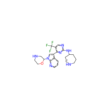 FC(F)(F)c1cnc(NC2CCCNCC2)nc1-c1cn(C2CNCCO2)c2ncccc12